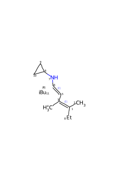 CC/C(C)=C(C)/C=C(/NC1CC1)[C@H](C)CC